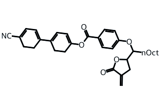 C=C1CC(C(CCCCCCCC)Oc2ccc(C(=O)OC3=CC=C(C4=CC=C(C#N)CC4)CC3)cc2)OC1=O